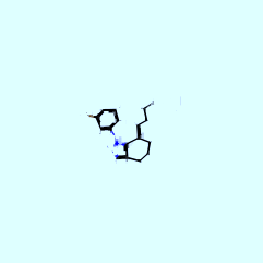 O=C(O)CC/C=C1\CCCc2cnn(-c3cccc(Br)c3)c21